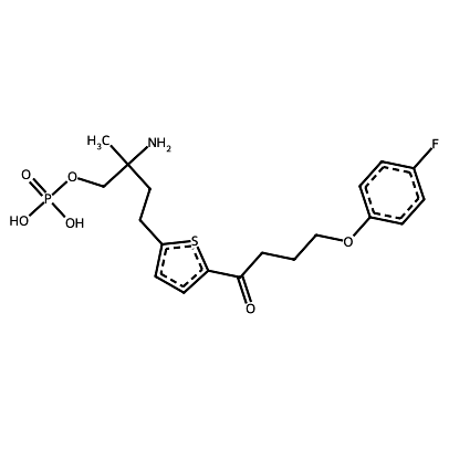 CC(N)(CCc1ccc(C(=O)CCCOc2ccc(F)cc2)s1)COP(=O)(O)O